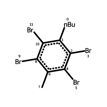 CCCCc1c(Br)c(Br)c(C)c(Br)c1Br